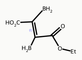 B/C(C(=O)O)=C(/B)C(=O)OCC